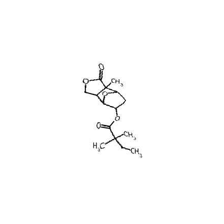 CCC(C)(C)C(=O)OC1CC2OC1C1COC(=O)C21C